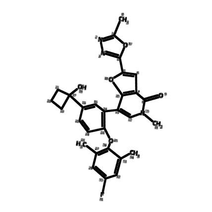 Cc1nnc(-c2cc3c(=O)n(C)cc(-c4cc(C5(O)CCC5)ccc4Oc4c(C)cc(F)cc4C)c3o2)o1